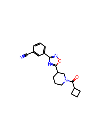 N#Cc1cccc(-c2noc(C3CCCN(C(=O)C4CCC4)C3)n2)c1